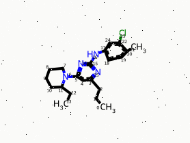 CCCc1cc(N2CCCCC2CC)nc(Nc2ccc(C)c(Cl)c2)n1